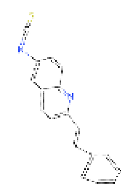 S=C=Nc1ccc2nc(C=Cc3ccccc3)ccc2c1